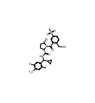 CC[C@@H]1CC[C@H](C(=O)NC(c2cc(F)c(C(F)(F)F)cc2F)C2CC2)N1C(=O)c1cc(S(C)(=O)=O)ccc1CO